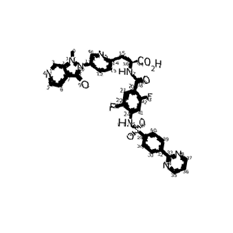 Cn1c2cnccc2c(=O)n1-c1ccc(C[C@H](NC(=O)c2cc(F)c(NS(=O)(=O)c3ccc(-c4ncccn4)cc3)cc2F)C(=O)O)nc1